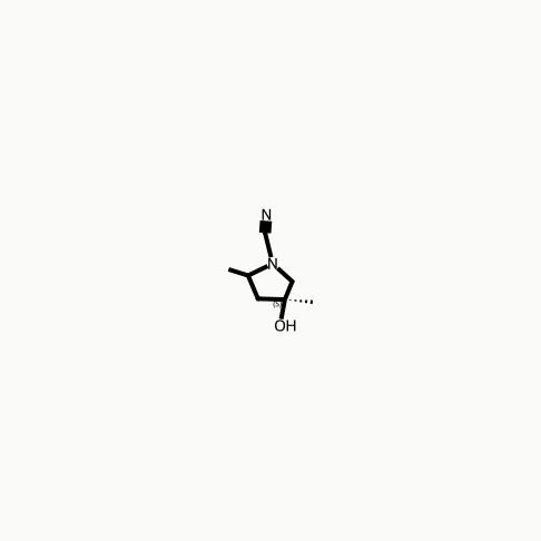 CC1C[C@](C)(O)CN1C#N